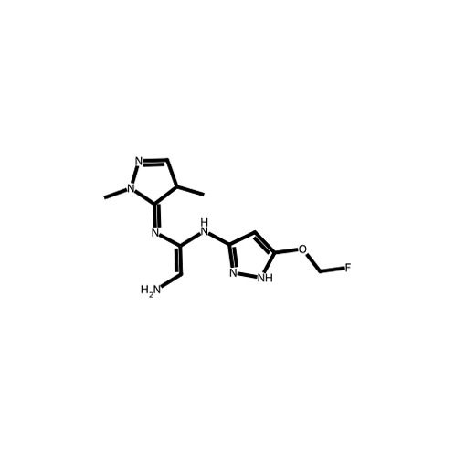 CC1C=NN(C)/C1=N/C(=C\N)Nc1cc(OCF)[nH]n1